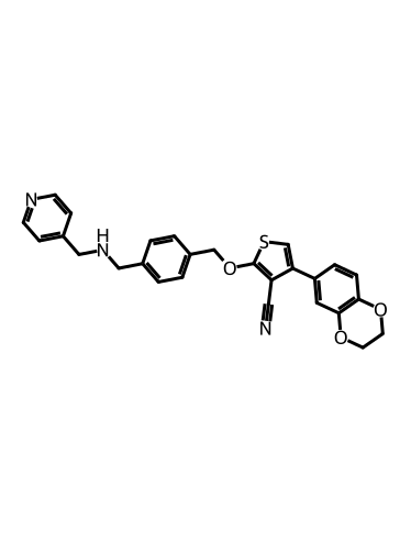 N#Cc1c(-c2ccc3c(c2)OCCO3)csc1OCc1ccc(CNCc2ccncc2)cc1